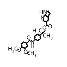 COc1ccc(C(=O)Nc2ccc(C(C)(C)COC(=O)c3cnc4[nH]ccc4c3)cc2)cc1OC